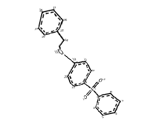 O=S(=O)(c1cc[c]cc1)c1ccc(OCc2ccccc2)cc1